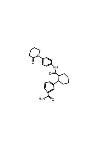 NC(=O)c1cccc(C2CCCCC2C(=O)Nc2ccc(N3CCCCC3=O)cc2)c1